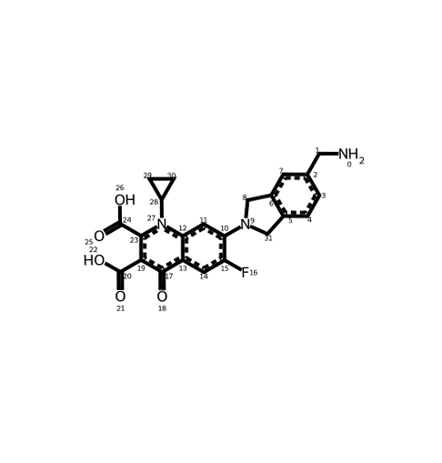 NCc1ccc2c(c1)CN(c1cc3c(cc1F)c(=O)c(C(=O)O)c(C(=O)O)n3C1CC1)C2